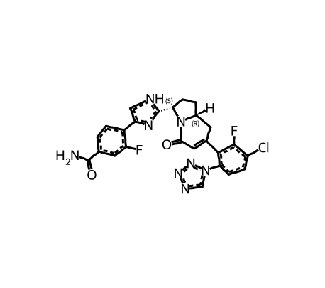 NC(=O)c1ccc(-c2c[nH]c([C@@H]3CC[C@@H]4CC(c5c(-n6cnnn6)ccc(Cl)c5F)=CC(=O)N43)n2)c(F)c1